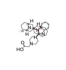 C[C@@H]1CC[C@H]2C[C@@H](n3c(C4CCN(CC(=O)O)CC4)nc4ccccc43)C[C@@H]1N2[C@@H]1C[C@@H]2CCCC[C@@H](C2)C1